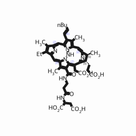 CCCC/C=C/c1c(C)c2n3c1/C=C1N=C(/C=c4/c(C)c(C(=O)NCCC(=O)NC(CC(=O)O)C(=O)O)/c(n4N3)=C(\CC(=O)O)C3=N/C(=C\2)[C@@H](C)[C@@H]3CCC(=O)O)C(CC)=C\1C